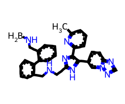 BNCc1ccccc1-c1ccccc1CNCc1nc(-c2cccc(C)n2)c(-c2ccc3ncnn3c2)[nH]1